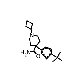 CC(C)(C)c1ccc(C2(C(N)=O)CCN(C3CCC3)CC2)cc1